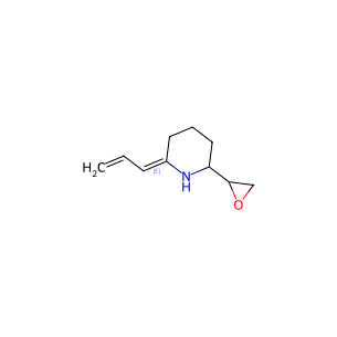 C=C/C=C1\CCCC(C2CO2)N1